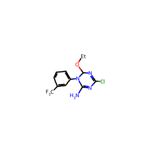 CCOC1N=C(Cl)N=C(N)N1c1cccc(C(F)(F)F)c1